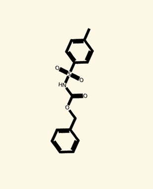 Cc1ccc(S(=O)(=O)NC(=O)OCc2ccccc2)cc1